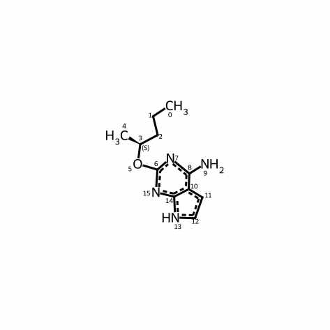 CCC[C@H](C)Oc1nc(N)c2cc[nH]c2n1